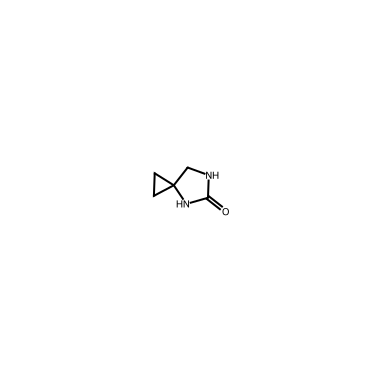 O=C1NCC2(CC2)N1